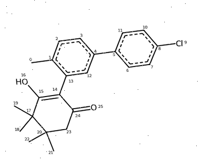 Cc1ccc(-c2ccc(Cl)cc2)cc1C1=C(O)C(C)(C)C(C)(C)CC1=O